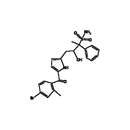 Cc1cc(Br)ccc1C(=O)c1ccc(CC(O)C(C)(c2ccccc2)S(N)(=O)=O)[nH]1